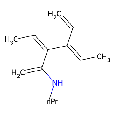 C=CC(=C\C)/C(=C/C)C(=C)NCCC